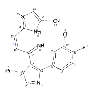 CC(C)n1cnc(-c2ccc(F)c(Cl)c2)c1C(=N)/C=C\c1ncc(C#N)[nH]1